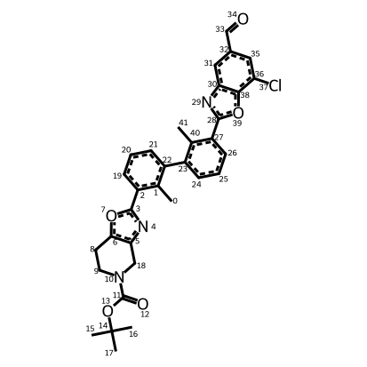 Cc1c(-c2nc3c(o2)CCN(C(=O)OC(C)(C)C)C3)cccc1-c1cccc(-c2nc3cc(C=O)cc(Cl)c3o2)c1C